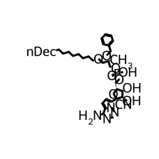 CCCCCCCCCCCCCCCCCCOC[C@](C)(COP(=O)(O)OC[C@H]1O[C@@](C#N)(c2ccc3c(N)ncnn23)[C@H](O)[C@@H]1O)OCc1ccccc1